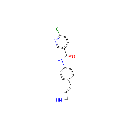 O=C(Nc1ccc(C=C2CNC2)cc1)c1ccc(Cl)nc1